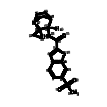 CS(=O)(=O)c1ccc2cc(C(=O)N[C@H]3C4CCN(CC4)C34CC4)sc2c1